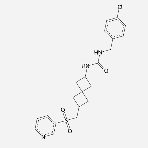 O=C(NCc1ccc(Cl)cc1)NC1CC2(CC(CS(=O)(=O)c3cccnc3)C2)C1